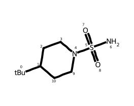 CC(C)(C)C1CCN(S(N)(=O)=O)CC1